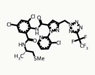 CSC[C@H](C)NC(=O)c1cc(Cl)cc(Cl)c1NC(=O)c1cc(Cn2nnc(C(F)(F)C(F)(F)F)n2)nn1-c1ncccc1Cl